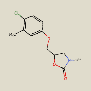 CCN1CC(COc2ccc(Cl)c(C)c2)OC1=O